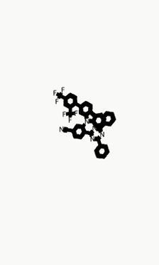 N#Cc1ccc(-c2nc(-c3ccccc3)nc(-c3ccccc3)n2)c(-n2c3ccccc3c3ccc(-c4ccc(C(F)(F)F)cc4C(F)(F)F)cc32)c1